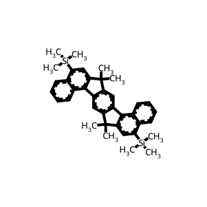 CC1(C)c2cc3c(cc2-c2c1cc([Si](C)(C)C)c1ccccc21)C(C)(C)c1cc([Si](C)(C)C)c2ccccc2c1-3